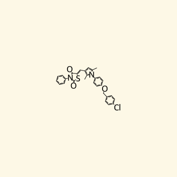 Cc1cc(C=C2SC(=O)N(c3ccccc3)C2=O)c(C)n1-c1ccc(OCc2ccc(Cl)cc2)cc1